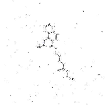 CCOC(=O)CCCCCOc1ccc2ccccc2c1/C=N/O